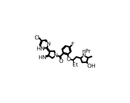 CCCN1C(C[C@@H](CC)Oc2cc(F)ccc2C(=O)N2CC(=N)/C(=C3/N=CC(Cl)=CN3)C2)CC(O)C1C